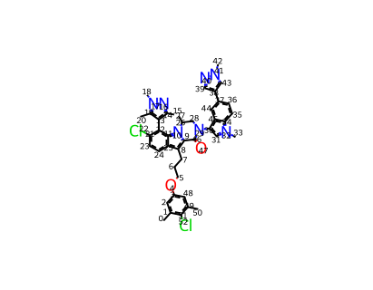 Cc1cc(OCCCc2c3n(c4c(-c5c(C)nn(C)c5C)c(Cl)ccc24)C(C)CN(c2cn(C)c4ccc(-c5cnn(C)c5)cc24)C3=O)cc(C)c1Cl